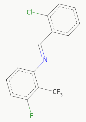 Fc1cccc(/N=C/c2ccccc2Cl)c1C(F)(F)F